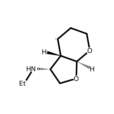 CCN[C@H]1CO[C@@H]2OCC[CH][C@H]21